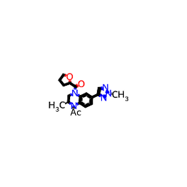 CC(=O)N1c2ccc(-c3cnn(C)n3)cc2N(C(=O)C2CCCO2)C[C@@H]1C